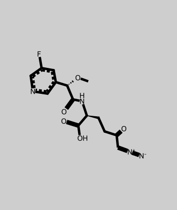 CO[C@H](C(=O)N[C@@H](CCC(=O)C=[N+]=[N-])C(=O)O)c1cncc(F)c1